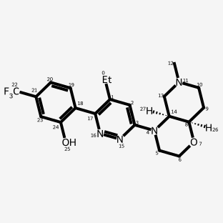 CCc1cc(N2CCO[C@@H]3CCN(C)C[C@@H]32)nnc1-c1ccc(C(F)(F)F)cc1O